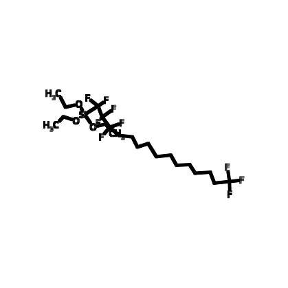 CCO[Si](OCC)(OCC)C(F)(F)C(F)(F)C(F)(F)CCCCCCCCCCCC(F)(F)F